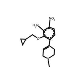 CN1CC=C(c2ccc([N+](=O)[O-])c(N)c2OCC2CC2)CC1